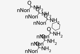 C1CCCCC1.CCCCCCCCCC(N)=O.CCCCCCCCCC(N)=O.CCCCCCCCCC(N)=O.CCCCCCCCCC(N)=O.CCCCCCCCCC(N)=O.CCCCCCCCCC(N)=O